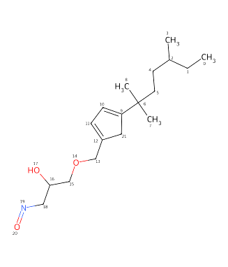 CCC(C)CCC(C)(C)C1=CC=C(COCC(O)CN=O)C1